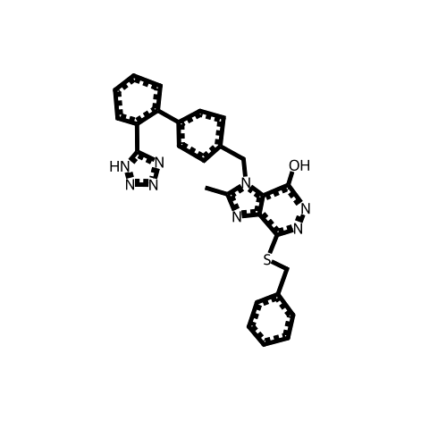 Cc1nc2c(SCc3ccccc3)nnc(O)c2n1Cc1ccc(-c2ccccc2-c2nnn[nH]2)cc1